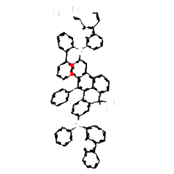 C=Cc1oc2c(N(c3ccc4c(-c5ccccc5)c5c6c(cccc6c4c3)C(C)(C)c3cc(N(c4ccccc4)c4cccc6c4oc4ccccc46)ccc3-5)c3ccccc3-c3ccccc3)cccc2c1/C=C\C